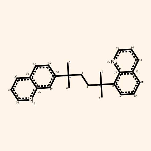 CC(C)(CCC(C)(C)c1cccc2cccnc12)c1ccc2cccnc2c1